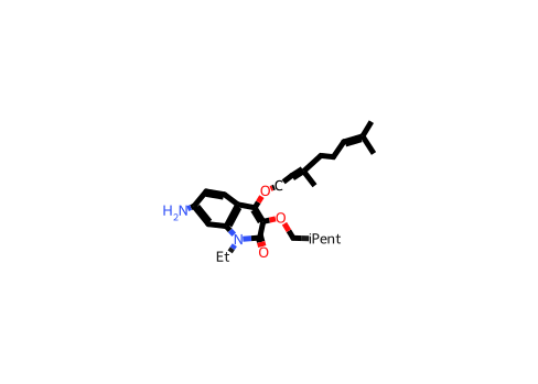 CCCC(C)COc1c(OC/C=C(\C)CCC=C(C)C)c2ccc(N)cc2n(CC)c1=O